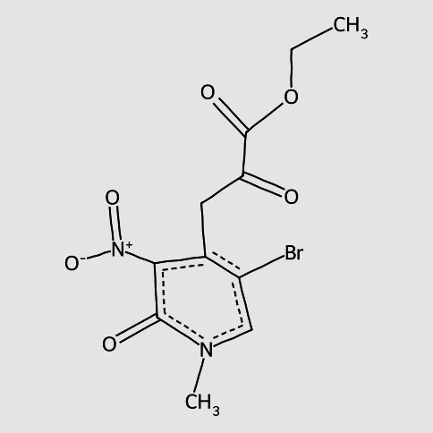 CCOC(=O)C(=O)Cc1c(Br)cn(C)c(=O)c1[N+](=O)[O-]